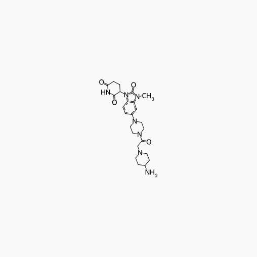 Cn1c(=O)n(C2CCC(=O)NC2=O)c2ccc(N3CCN(C(=O)CN4CCC(N)CC4)CC3)cc21